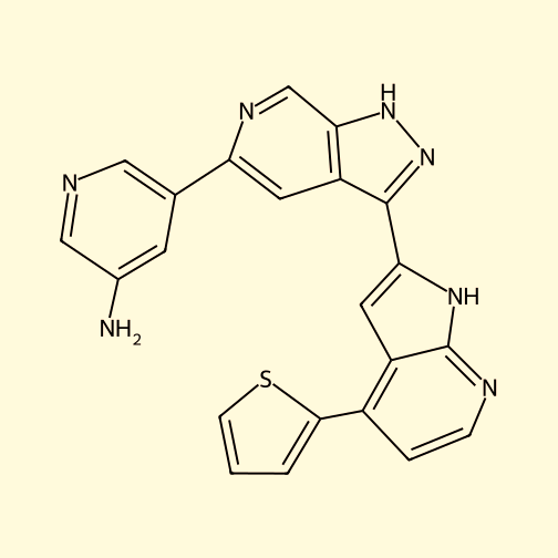 Nc1cncc(-c2cc3c(-c4cc5c(-c6cccs6)ccnc5[nH]4)n[nH]c3cn2)c1